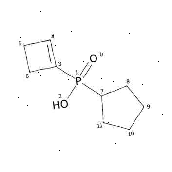 O=P(O)(C1=CCC1)C1CCCC1